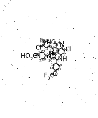 N#Cc1cnc2c(Cl)cc(NC(c3ccc(OC(F)(F)F)cc3)c3cn(C4CCN(C(=O)O)CC4)nn3)cc2c1Nc1ccc(F)c(Cl)c1